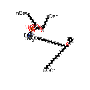 CCCCCCCCCCCCCCCCCC(=O)OCC(COP(=O)(O)OCC[N+](CC)(CC)CC)OC(=O)CCCCCCCCCCCCCCCCC.O=C([O-])CCCCCCCCCCCCCCCCCCC(CCCCCCCCCCCCCCCCCC(=O)O)COCc1ccccc1